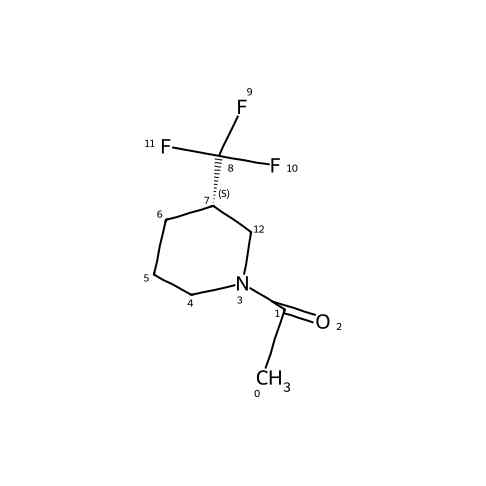 CC(=O)N1CCC[C@H](C(F)(F)F)C1